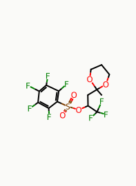 CC1(CC(OS(=O)(=O)c2c(F)c(F)c(F)c(F)c2F)C(F)(F)F)OCCCO1